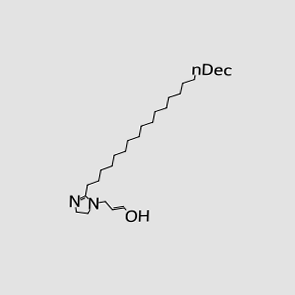 CCCCCCCCCCCCCCCCCCCCCCCCCCC1=NCCN1CC=CO